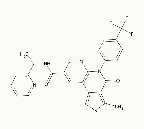 Cc1scc2c1c(=O)n(-c1ccc(C(F)(F)F)cc1)c1ncc(C(=O)N[C@@H](C)c3ccccn3)cc21